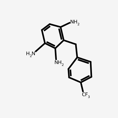 Nc1ccc(N)c(Cc2ccc(C(F)(F)F)cc2)c1N